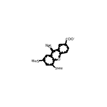 CSc1cc(SC)c2oc3ccc(C(=O)[O-])cc3c(=O)c2c1.[Na+]